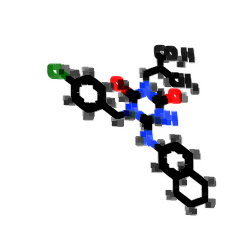 C[C@@H](Cn1c(=O)[nH]/c(=N\c2ccc3c(c2)CCCC3)n(Cc2ccc(Cl)cc2)c1=O)C(=O)O